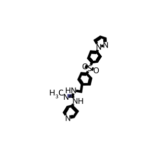 C/N=C(\NCc1ccc(S(=O)(=O)c2ccc(-n3cccn3)cc2)cc1)Nc1ccncc1